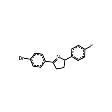 Fc1ccc(C2CCC(c3ccc(Br)cc3)=N2)cc1